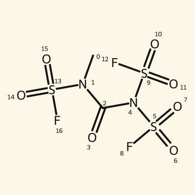 CN(C(=O)N(S(=O)(=O)F)S(=O)(=O)F)S(=O)(=O)F